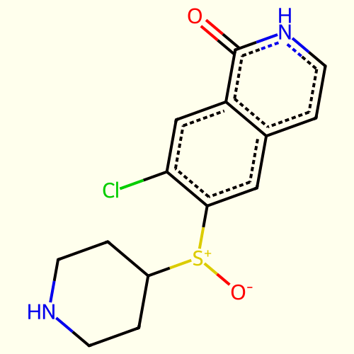 O=c1[nH]ccc2cc([S+]([O-])C3CCNCC3)c(Cl)cc12